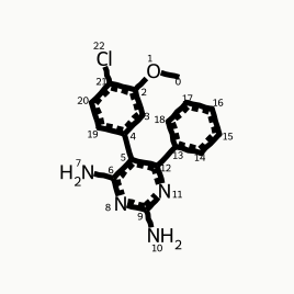 COc1cc(-c2c(N)nc(N)nc2-c2ccccc2)ccc1Cl